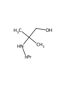 CCCNC(C)(C)CO